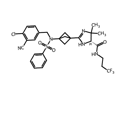 CC1(C)N=C(C23CC(N(Cc4ccc(Cl)c(C#N)c4)S(=O)(=O)c4ccccc4)(C2)C3)N[C@H]1C(=O)NCCC(F)(F)F